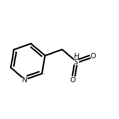 O=[SH](=O)Cc1[c]nccc1